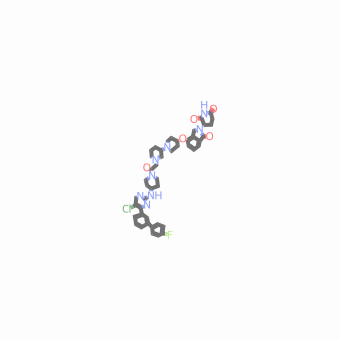 O=C1CCC(N2Cc3c(OC4CCN(C5CCCN(CC(=O)N6CCC(Nc7ncc(Cl)c(-c8cccc(-c9ccc(F)cc9)c8)n7)CC6)C5)CC4)cccc3C2=O)C(=O)N1